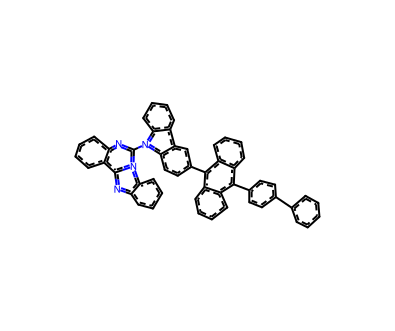 c1ccc(-c2ccc(-c3c4ccccc4c(-c4ccc5c(c4)c4ccccc4n5-c4nc5ccccc5c5nc6ccccc6n45)c4ccccc34)cc2)cc1